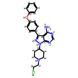 Nc1ncnc2c1c(-c1ccc(Oc3ccccc3)cc1)nn2C1CCN(CCCl)CC1